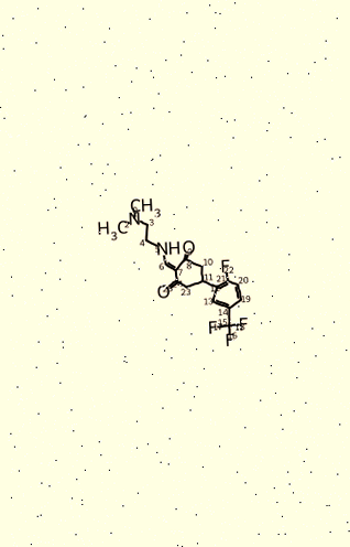 CN(C)CCNC=C1C(=O)CC(c2cc(C(F)(F)F)ccc2F)CC1=O